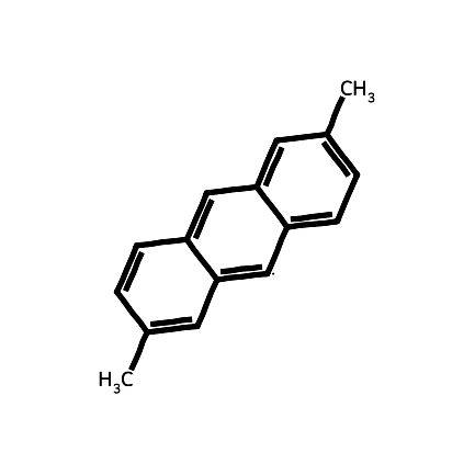 Cc1ccc2cc3cc(C)ccc3[c]c2c1